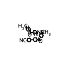 Cc1ccc(C(=O)N2CCC(c3ccc(C#N)cc3)CC2)cc1Nc1ccc(C(=O)N2CCN(C)CC2)cn1